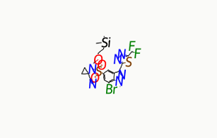 Cn1nc(-c2nnc(C(F)F)s2)c2cc(S(=O)(=O)N(COCC[Si](C)(C)C)C3(C#N)CC3)cc(Br)c21